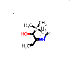 C=CC(=NC(C)C)C(O)[Si](C)(C)C